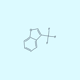 FC(F)(F)c1coc2cc[c]cc12